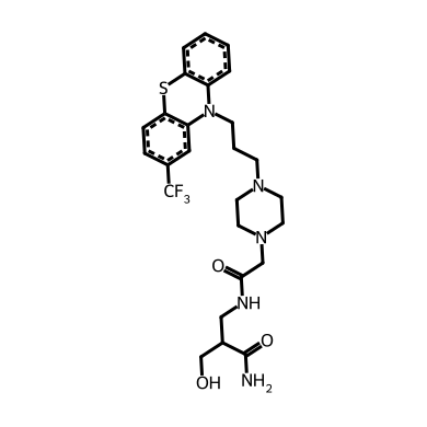 NC(=O)C(CO)CNC(=O)CN1CCN(CCCN2c3ccccc3Sc3ccc(C(F)(F)F)cc32)CC1